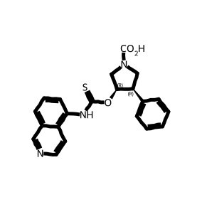 O=C(O)N1C[C@H](OC(=S)Nc2cccc3cnccc23)[C@H](c2ccccc2)C1